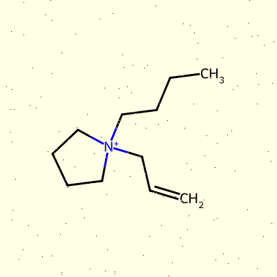 C=CC[N+]1(CCCC)CCCC1